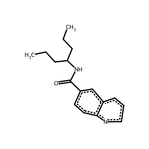 CCCC(CCC)NC(=O)c1ccc2ncccc2c1